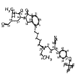 CCN(CCCCCc1cccc2c1CN(C(CCC=O)C(=O)NC)C2=O)CC[C@@H](C#N)c1ccc(OC(F)(F)F)cc1